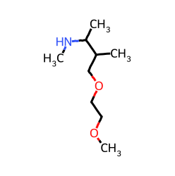 CNC(C)C(C)COCCOC